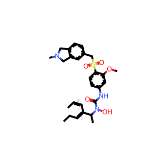 C/C=C\C(=C/CC)C(C)N(O)C(=O)Nc1ccc(S(=O)(=O)Cc2ccc3c(c2)CN(C)C3)c(OC)c1